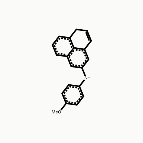 COc1ccc(Nc2cc3c4c(cccc4c2)CC=C3)cc1